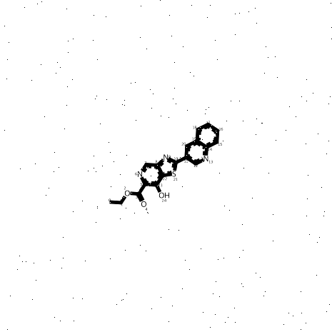 CCOC(=O)c1ncc2nc(-c3cnc4ccccc4c3)sc2c1O